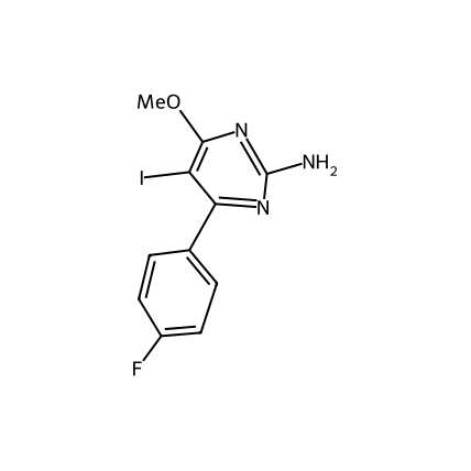 COc1nc(N)nc(-c2ccc(F)cc2)c1I